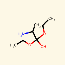 CCOC(O)(OCC)C(C)N